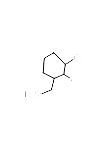 [SiH3]CC1CCCC(Cl)C1Cl